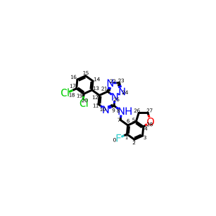 Fc1ccc2c(c1CNc1ncc(-c3cccc(Cl)c3Cl)c3ncnn13)CCO2